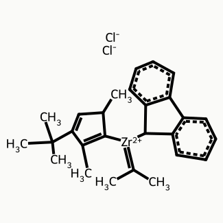 CC1=[C]([Zr+2](=[C](C)C)[CH]2c3ccccc3-c3ccccc32)C(C)C=C1C(C)(C)C.[Cl-].[Cl-]